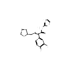 O=C(Nc1nccs1)/C(=C/CC1CCCC1)c1ccc(F)c(F)c1